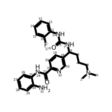 CN(C)CCCC(NC(=O)Nc1ccccc1F)c1ccc(C(=O)Nc2ccccc2N)nc1